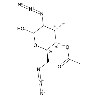 CC(=O)O[C@@H]1[C@@H](CN=[N+]=[N-])OC(O)C(N=[N+]=[N-])[C@@H]1C